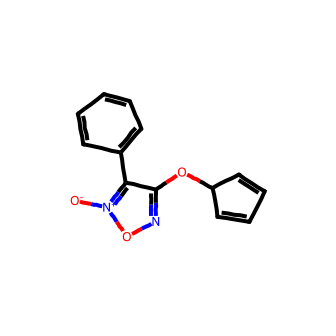 [O-][n+]1onc(OC2C=CC=C2)c1-c1ccccc1